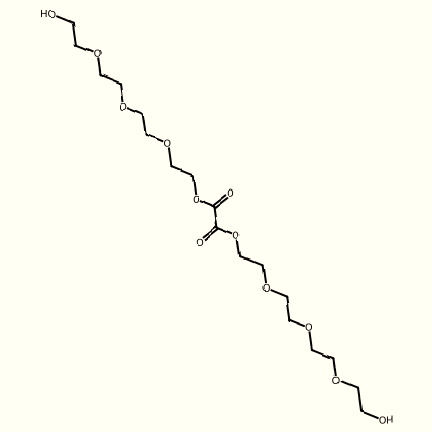 O=C(OCCOCCOCCOCCO)C(=O)OCCOCCOCCOCCO